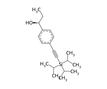 CC[C@H](O)c1ccc(C#C[Si](C(C)C)(C(C)C)C(C)C)cc1